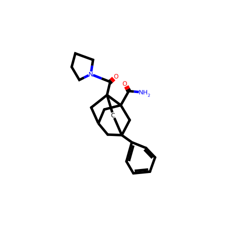 NC(=O)C12CC3CC(c4ccccc4)(C1)CC2(C(=O)N1CCCC1)C3